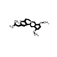 COc1ccc(OC)c2c1CC1c3cc(CC(C)C)sc3CCN1C2